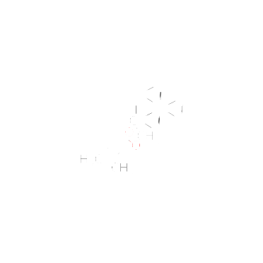 CC1C2CC(C(=O)OC(C)(C)c3ccc4c5ccccc5c5ccccc5c4c3)C(C2)C1C